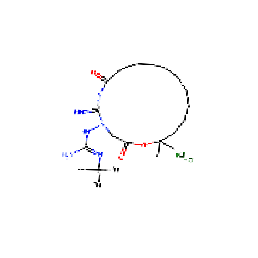 Cl.Cl.[2H]C([2H])([2H])N=C(N)NN1CC(=O)OC(C)(C)CCCCCCCCCC(=O)NC1=N